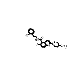 O=C(NCCc1ccccc1Cl)c1c(Cl)ccc2nc(N3CCC(C(=O)O)CC3)ccc12